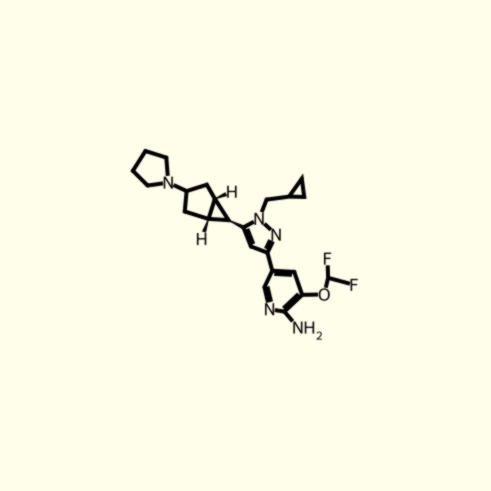 Nc1ncc(-c2cc([C@H]3[C@@H]4CC(N5CCCC5)C[C@@H]43)n(CC3CC3)n2)cc1OC(F)F